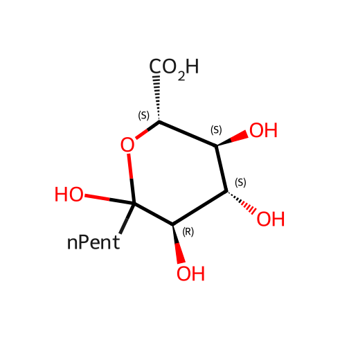 CCCCCC1(O)O[C@H](C(=O)O)[C@@H](O)[C@H](O)[C@H]1O